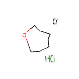 C1CCOC1.Cl.[Cr]